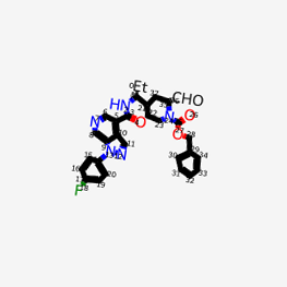 CC[C@H](NC(=O)c1cncc2c1cnn2-c1ccc(F)cc1)C1CCN(C(=O)OCc2ccccc2)C(C=O)C1